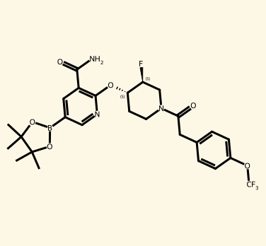 CC1(C)OB(c2cnc(O[C@H]3CCN(C(=O)Cc4ccc(OC(F)(F)F)cc4)C[C@@H]3F)c(C(N)=O)c2)OC1(C)C